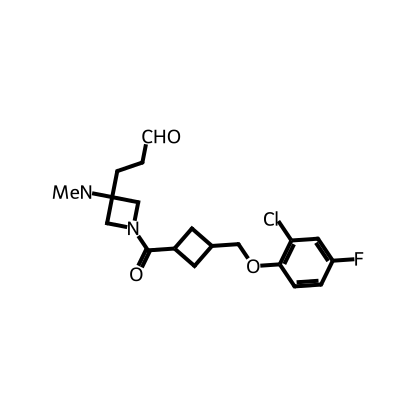 CNC1(CCC=O)CN(C(=O)C2CC(COc3ccc(F)cc3Cl)C2)C1